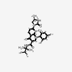 C[C@@H]1CN(c2ccc3c(=O)c(C(=O)NC(C)(C)C(F)F)cn(-c4c(F)cc(F)cc4F)c3n2)C(=O)N1